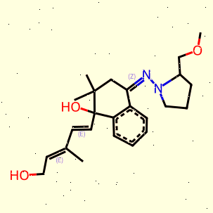 COCC1CCCN1/N=C1/CC(C)(C)C(O)(/C=C/C(C)=C/CO)c2ccccc21